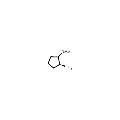 CNC1CCC[C@@H]1C